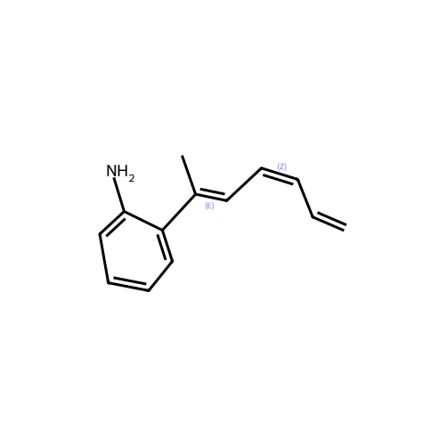 C=C/C=C\C=C(/C)c1ccccc1N